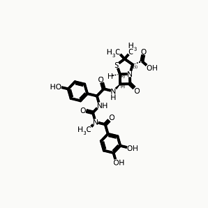 CN(C(=O)NC(C(=O)N[C@@H]1C(=O)N2[C@@H]1SC(C)(C)[C@@H]2C(=O)O)c1ccc(O)cc1)C(=O)c1ccc(O)c(O)c1